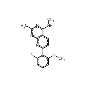 CNc1nc(N)nc2nc(-c3c(F)cccc3OC)ccc12